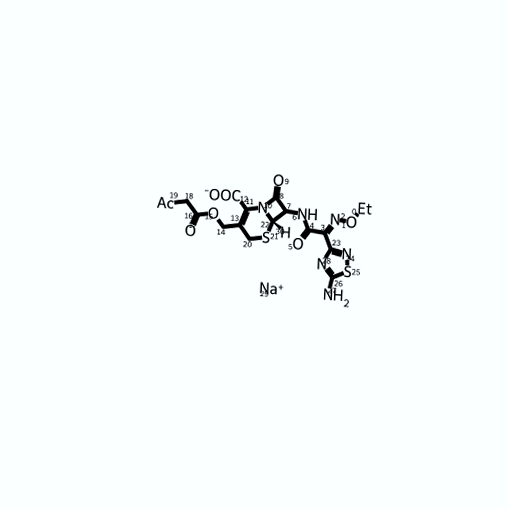 CCON=C(C(=O)NC1C(=O)N2C(C(=O)[O-])=C(COC(=O)CC(C)=O)CS[C@@H]12)c1nsc(N)n1.[Na+]